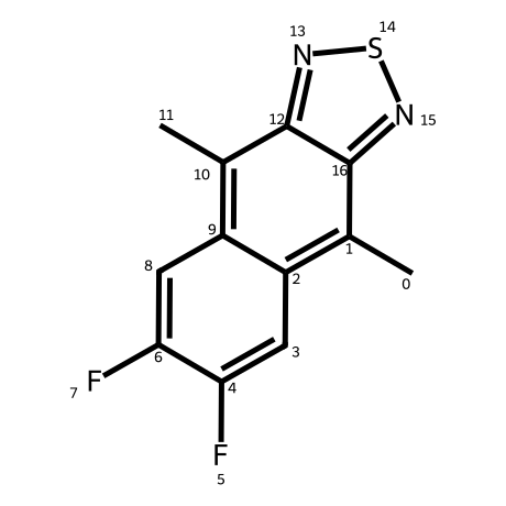 Cc1c2cc(F)c(F)cc2c(C)c2nsnc12